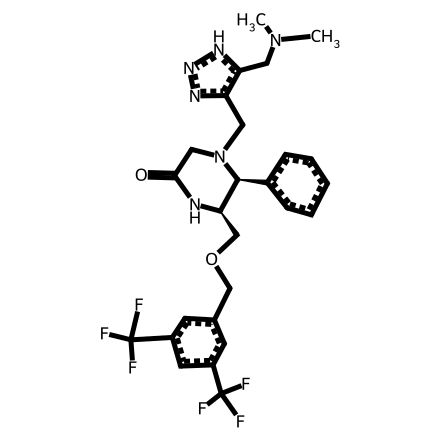 CN(C)Cc1[nH]nnc1CN1CC(=O)N[C@H](COCc2cc(C(F)(F)F)cc(C(F)(F)F)c2)[C@@H]1c1ccccc1